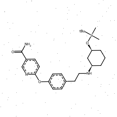 CC(C)(C)[Si](C)(C)O[C@H]1CCC[C@@H](NCCc2ccc(Oc3ccc(C(N)=O)cn3)cc2)C1